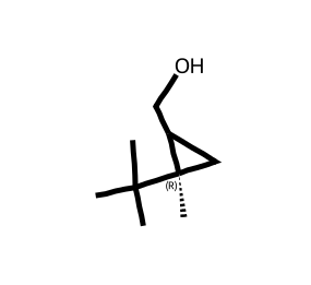 CC(C)(C)[C@]1(C)CC1CO